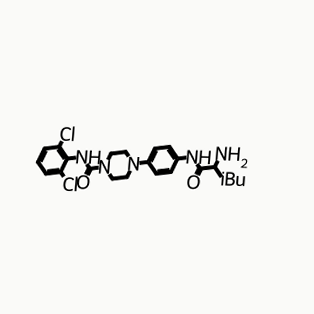 CCC(C)C(N)C(=O)Nc1ccc(N2CCN(C(=O)Nc3c(Cl)cccc3Cl)CC2)cc1